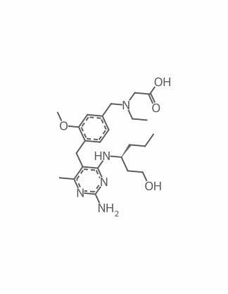 CCC[C@@H](CCO)Nc1nc(N)nc(C)c1Cc1ccc(CN(CC)CC(=O)O)cc1OC